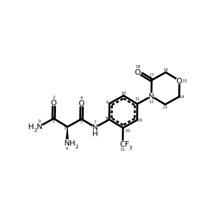 NC(=O)[C@H](N)C(=O)Nc1ccc(N2CCOCC2=O)cc1C(F)(F)F